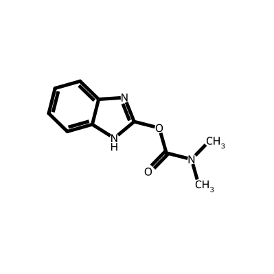 CN(C)C(=O)Oc1nc2ccccc2[nH]1